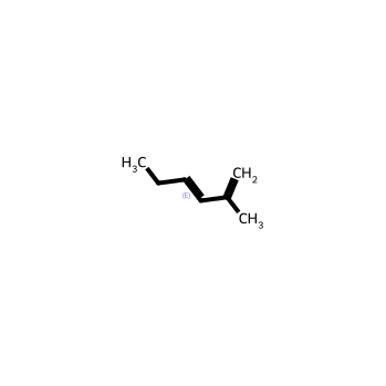 C=C(C)/C=C/CC